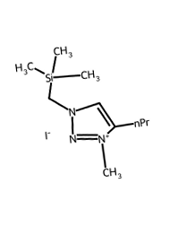 CCCc1cn(C[Si](C)(C)C)n[n+]1C.[I-]